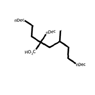 CCCCCCCCCCCCC(C)CC(CCCCCCCCCC)(CCCCCCCCCCCC)C(=O)O